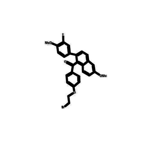 COc1ccc2c(C(=O)c3ccc(OCCBr)cc3)c(-c3ccc(OC)c(F)c3)ccc2c1